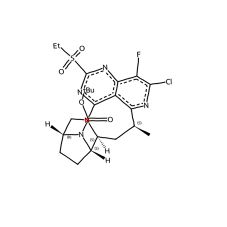 CCS(=O)(=O)c1nc2c3c(nc(Cl)c(F)c3n1)[C@@H](C)C[C@H]1[C@@H]3CC[C@H](CN21)N3C(=O)OC(C)(C)C